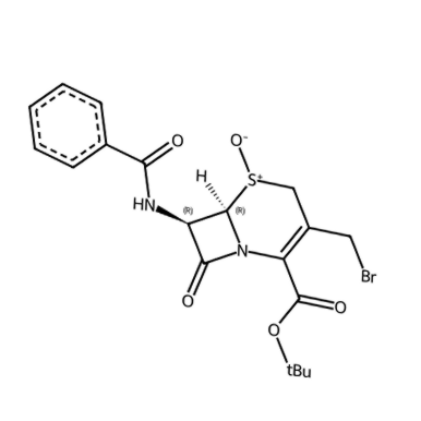 CC(C)(C)OC(=O)C1=C(CBr)C[S+]([O-])[C@@H]2[C@H](NC(=O)c3ccccc3)C(=O)N12